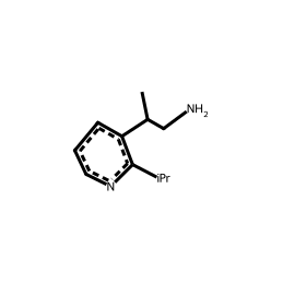 CC(C)c1ncccc1C(C)CN